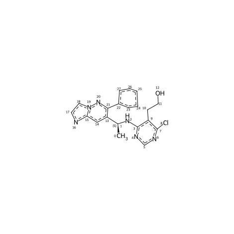 C[C@H](Nc1ncnc(Cl)c1CCO)c1cc2nccn2nc1-c1ccccc1